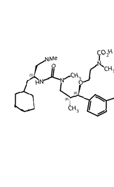 CNC[C@H](CC1CCCCC1)NC(=O)N(C)C[C@@H](C)[C@@H](OCCN(C)C(=O)O)c1cccc(Cl)c1